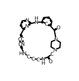 O=C1CN2CCN(CC2)C(=O)c2cccc(c2)Nc2nccc(n2)-c2ccc(nc2)NCCCN1